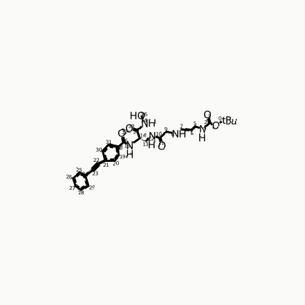 CC(C)(C)OC(=O)NCCCNCC(=O)NC[C@H](NC(=O)c1ccc(C#Cc2ccccc2)cc1)C(=O)NO